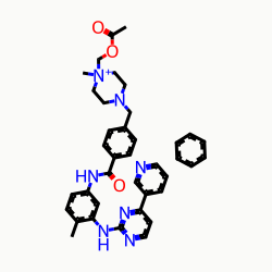 CC(=O)OC[N+]1(C)CCN(Cc2ccc(C(=O)Nc3ccc(C)c(Nc4nccc(-c5cccnc5)n4)c3)cc2)CC1.c1ccccc1